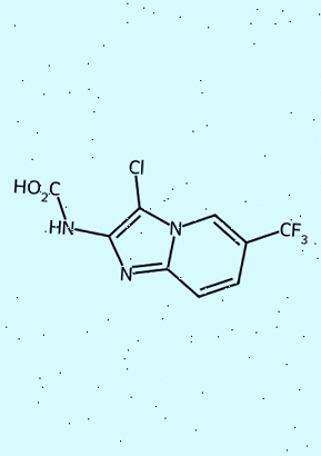 O=C(O)Nc1nc2ccc(C(F)(F)F)cn2c1Cl